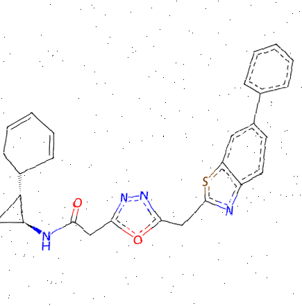 O=C(Cc1nnc(Cc2nc3ccc(-c4ccccc4)cc3s2)o1)N[C@H]1C[C@@H]1C1C=CC=CC1